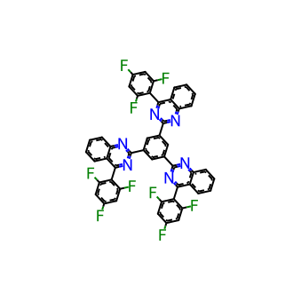 Fc1cc(F)c(-c2nc(-c3cc(-c4nc(-c5c(F)cc(F)cc5F)c5ccccc5n4)cc(-c4nc(-c5c(F)cc(F)cc5F)c5ccccc5n4)c3)nc3ccccc23)c(F)c1